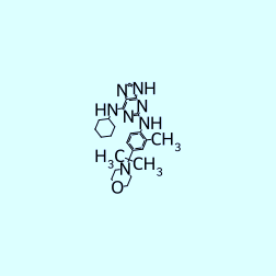 Cc1cc(C(C)(C)N2CCOCC2)ccc1Nc1nc(NC2CCCCC2)c2nc[nH]c2n1